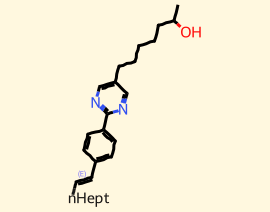 CCCCCCC/C=C/c1ccc(-c2ncc(CCCCCC(C)O)cn2)cc1